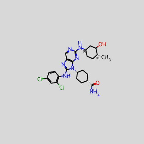 C[C@@H]1CC[C@@H](Nc2ncc3nc(Nc4ccc(Cl)cc4Cl)n([C@H]4CC[C@@H](C(N)=O)CC4)c3n2)CC1O